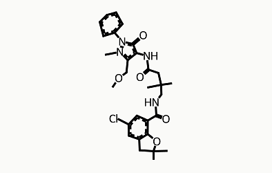 COCc1c(NC(=O)CC(C)(C)CNC(=O)c2cc(Cl)cc3c2OC(C)(C)C3)c(=O)n(-c2ccccc2)n1C